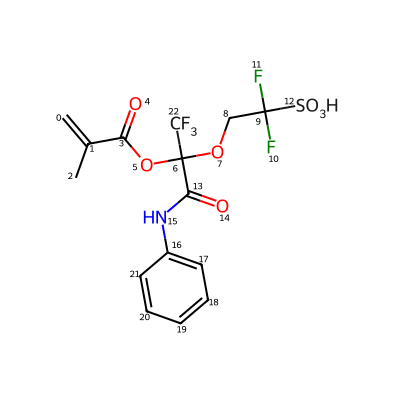 C=C(C)C(=O)OC(OCC(F)(F)S(=O)(=O)O)(C(=O)Nc1ccccc1)C(F)(F)F